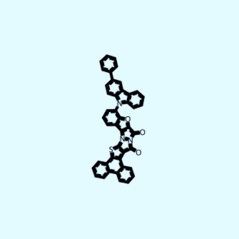 O=c1c2oc3c(-n4c5ccccc5c5cc(-c6ccccc6)ccc54)cccc3c2n2c3sc4c5ccccc5c5ccccc5c4c3c(=O)n12